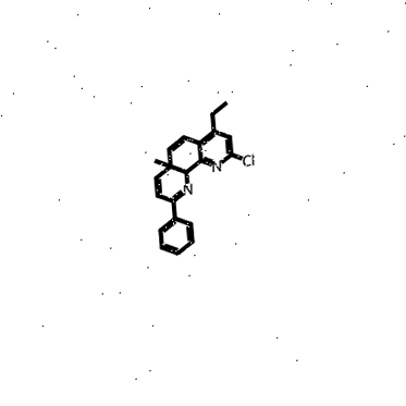 CCc1cc(Cl)nc2c1C=CC1(C)C=CC(c3ccccc3)=NC21